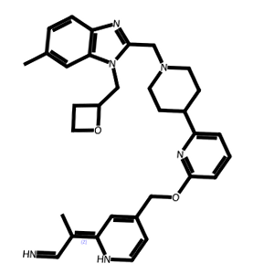 C/C(C=N)=C1\C=C(COc2cccc(C3CCN(Cc4nc5ccc(C)cc5n4CC4CCO4)CC3)n2)C=CN1